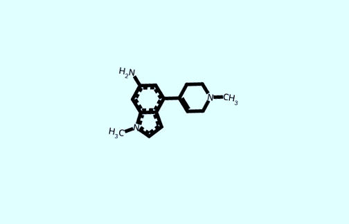 CN1CC=C(c2cc(N)cc3c2ccn3C)CC1